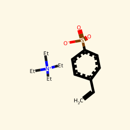 C=Cc1ccc(S(=O)(=O)[O-])cc1.CC[N+](CC)(CC)CC